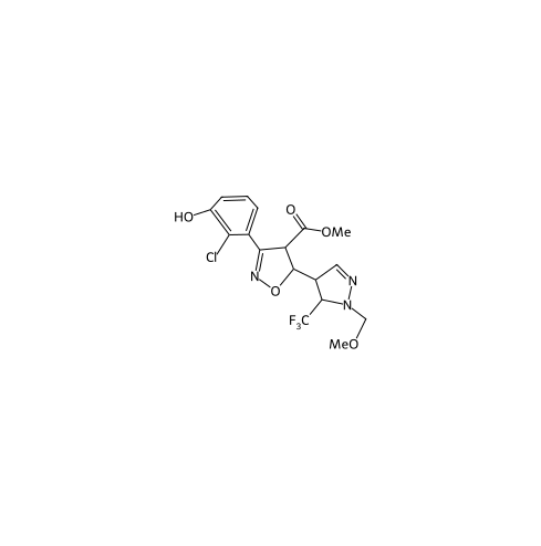 COCN1N=CC(C2ON=C(c3cccc(O)c3Cl)C2C(=O)OC)C1C(F)(F)F